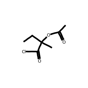 CCC(C)(OC(C)=O)C(=O)Cl